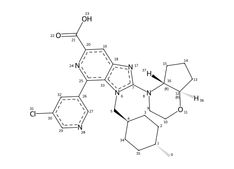 C[C@H]1CC[C@H](Cn2c(N3CCO[C@@H]4CCC[C@H]43)nc3cc(C(=O)O)nc(-c4cncc(Cl)c4)c32)CC1